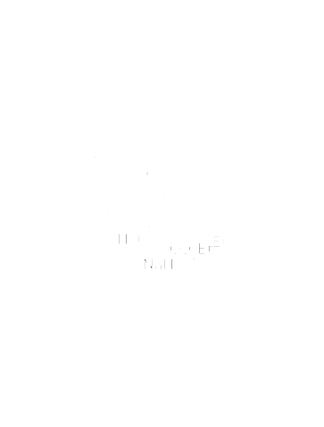 CCOC(=O)C(O)(c1ccccc1)c1ccccc1CC.[NaH]